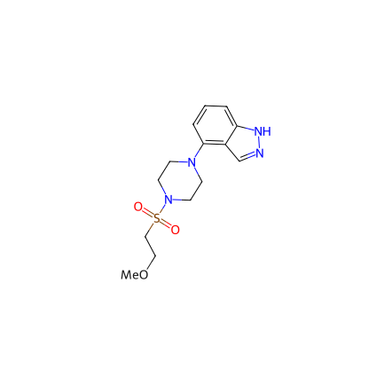 COCCS(=O)(=O)N1CCN(c2cccc3[nH]ncc23)CC1